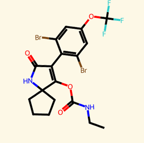 CCNC(=O)OC1=C(c2c(Br)cc(OC(F)(F)F)cc2Br)C(=O)NC12CCCC2